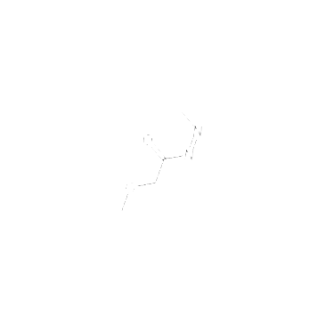 C/N=N\C(=O)COC